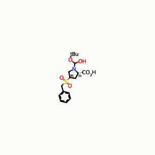 CC(C)(C)OC(O)N1C[C@H](S(=O)(=O)Cc2ccccc2)C[C@H]1C(=O)O